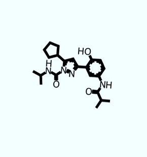 CC(C)NC(=O)n1nc(-c2cc(NC(=O)C(C)C)ccc2O)cc1C1CCCC1